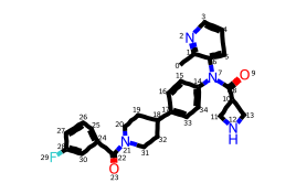 Cc1ncccc1N(C(=O)C1CNC1)c1ccc(C2CCN(C(=O)c3cccc(F)c3)CC2)cc1